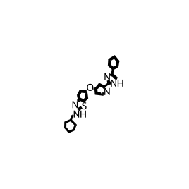 c1ccc(-c2c[nH]c(-c3cc(Oc4ccc5nc(NCC6CCCCC6)sc5c4)ccn3)n2)cc1